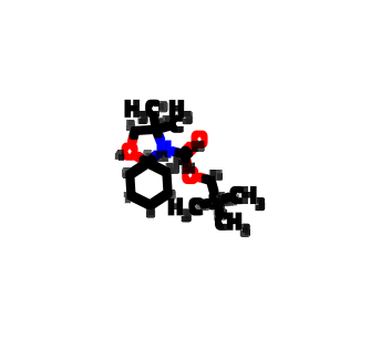 CC1(C)COC2(CCCCC2)N1C(=O)OC[Si](C)(C)C